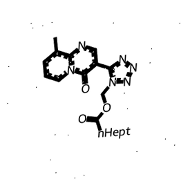 CCCCCCCC(=O)OCn1nnnc1-c1cnc2c(C)cccn2c1=O